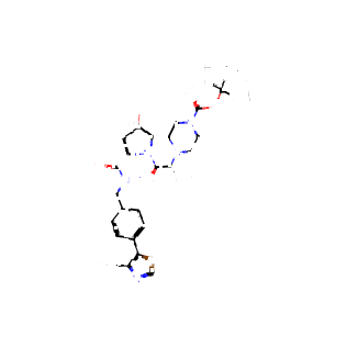 Cc1ncsc1C1=CCC(CNC(=O)[C@@H]2C[C@@H](O)CN2C(=O)[C@H](C)N2CCN(C(=O)OC(C)(C)C)CC2)C=C1